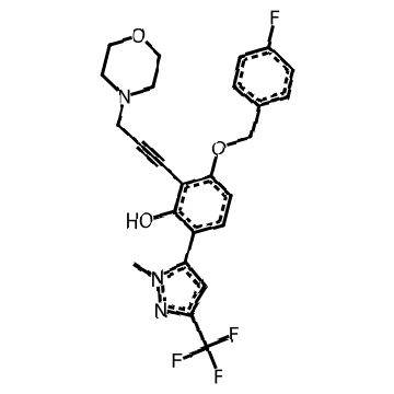 Cn1nc(C(F)(F)F)cc1-c1ccc(OCc2ccc(F)cc2)c(C#CCN2CCOCC2)c1O